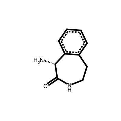 N[C@H]1C(=O)NCCc2ccccc21